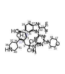 C#C/C=C\C(CC(C)(C)Nc1nc(N2CCOCC2)nc(-n2c(C(F)F)nc3ccccc32)n1)=C(/C)C1CCNCC1